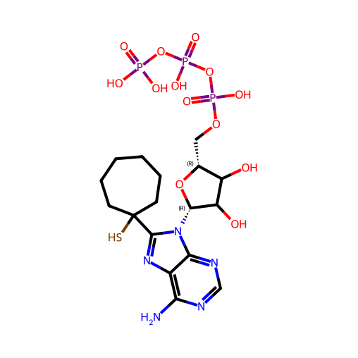 Nc1ncnc2c1nc(C1(S)CCCCCC1)n2[C@@H]1O[C@H](COP(=O)(O)OP(=O)(O)OP(=O)(O)O)C(O)C1O